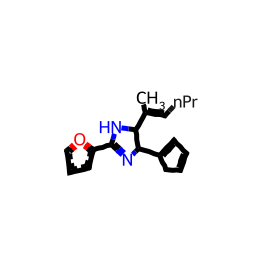 CCC/C=C(\C)C1NC(c2ccco2)=NC1C1=CC=CC1